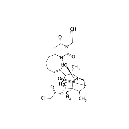 C#CCN1C(=O)CC2CCC/C=C(/[C@@H]3C[C@@H](OC(=O)CCl)[C@]4(C)C(C)CC[C@]5(C[C@H](O)C(=O)[C@]54C)[C@H]3C)CN2C1=O